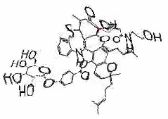 CC(C)=CCCC1(C)C=Cc2c(c(CC=C(C)C)c3c(c2OC(=O)c2ccc(O[C@@H]4O[C@H](CO)[C@@H](O)[C@H](O)[C@H]4O)cc2)C2=C4C(Sc5ccccc5N2)C(C)C(=O)C(O)(C/C=C\C(=O)NCCO)C4(C(C)C(C)C)O3)O1